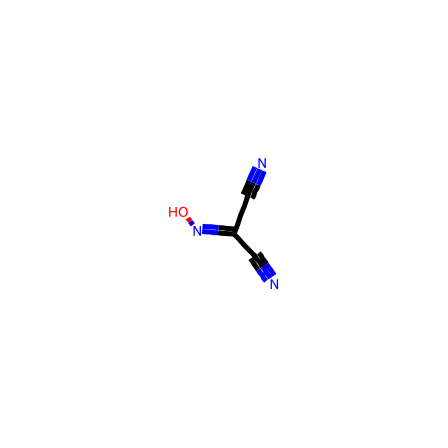 N#CC(C#N)=NO